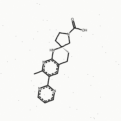 Cc1nc2c(cc1-c1ncccn1)CC[C@@]1(CCN(C(=O)O)C1)N2